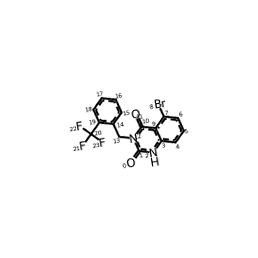 O=c1[nH]c2cccc(Br)c2c(=O)n1Cc1ccccc1C(F)(F)F